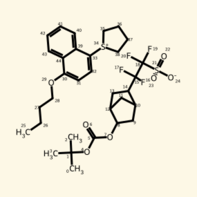 CC(C)(C)OC(=O)OC1CC2CC1CC2C(F)(F)C(F)(F)S(=O)(=O)[O-].CCCCOc1ccc([S+]2CCCC2)c2ccccc12